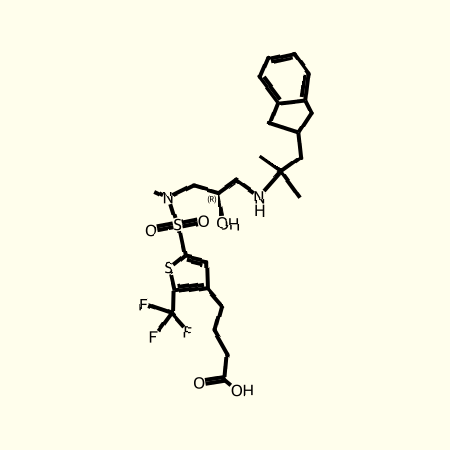 CN(C[C@H](O)CNC(C)(C)CC1Cc2ccccc2C1)S(=O)(=O)c1cc(CCCC(=O)O)c(C(F)(F)F)s1